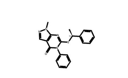 C[C@H](Sc1nc2c(cnn2C)c(=O)n1-c1ccccc1)c1ccccc1